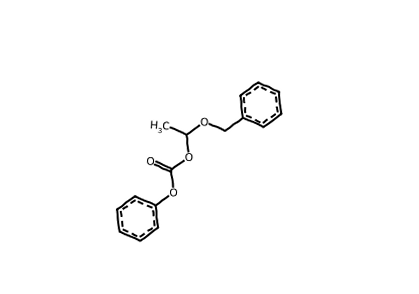 CC(OCc1ccccc1)OC(=O)Oc1ccccc1